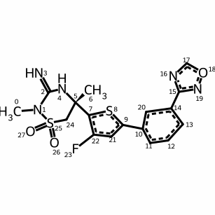 CN1C(=N)N[C@](C)(c2sc(-c3cccc(-c4ncon4)c3)cc2F)CS1(=O)=O